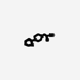 [NH]C(=O)CN1CCN(c2ccccn2)CC1